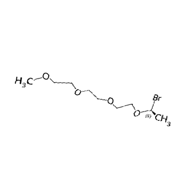 COCCOCCOCCO[C@H](C)Br